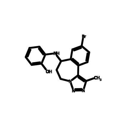 Cc1nnn2c1-c1ccc(Br)cc1C(Nc1ccccc1O)CC2